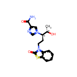 C[C@H](O)[C@@H](CCn1c(=O)sc2ccccc21)n1cnc(C(N)=O)c1